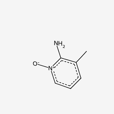 Cc1ccc[n+]([O-])c1N